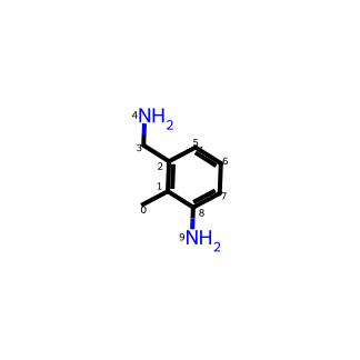 Cc1c(CN)[c]ccc1N